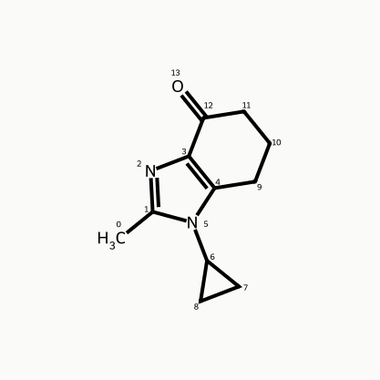 Cc1nc2c(n1C1CC1)CCCC2=O